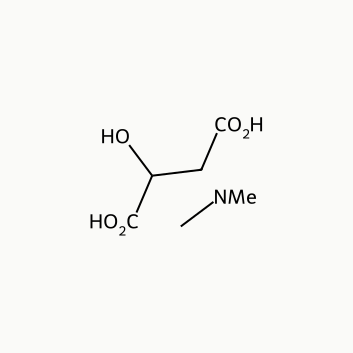 CNC.O=C(O)CC(O)C(=O)O